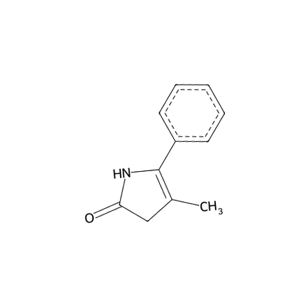 CC1=C(c2ccccc2)NC(=O)C1